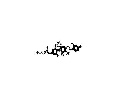 Cc1cc(OCc2ccc(F)cc2F)c(Br)c(=O)n1-c1c(F)cc(CNC(=O)O)cc1F